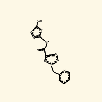 CSc1nnc(NC(=O)c2nnn(Cc3ccccn3)n2)s1